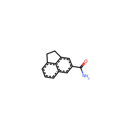 NC(=O)c1cc2c3c(cccc3c1)CC2